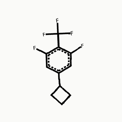 Fc1cc(C2CCC2)cc(F)c1C(F)(F)F